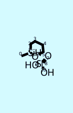 C[SiH]1CCCCO1.O=[Si](O)O